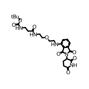 CC(C)(C)OC(=O)NCCC(=O)NCCOCCNc1cccc2c1C(=O)N(C1CCC(=O)NC1=O)C2=O